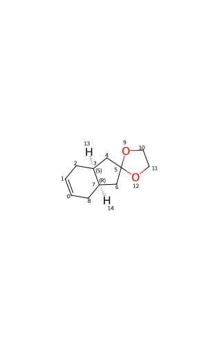 C1=CC[C@H]2CC3(C[C@H]2C1)OCCO3